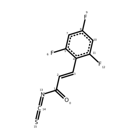 O=C(C=Cc1c(F)cc(F)cc1F)N=C=S